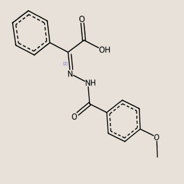 COc1ccc(C(=O)N/N=C(\C(=O)O)c2ccccc2)cc1